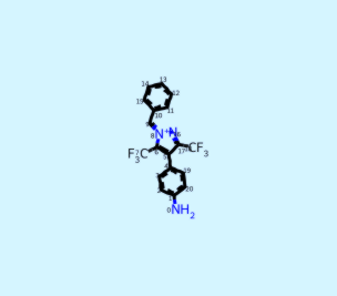 Nc1ccc(C2=C(C(F)(F)F)[N+](=Cc3ccccc3)N=C2C(F)(F)F)cc1